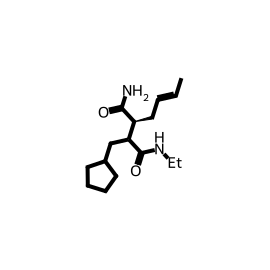 C/C=C/C[C@H](C(N)=O)C(CC1CCCC1)C(=O)NCC